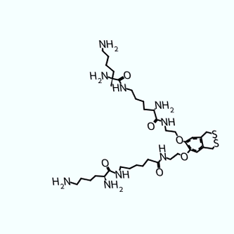 C[C@@](N)(CCCCN)C(=O)NCCCC[C@H](N)C(=O)NCCOc1cc2c(cc1OCCNC(=O)CCCCCNC(=O)[C@@H](N)CCCCN)CSSC2